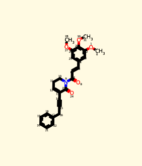 COc1cc(C=CC(=O)N2CCC=C(C#CCc3ccccc3)C2=O)cc(OC)c1OC